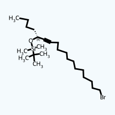 CCCC[C@H](C#CCCCCCCCCCCCBr)O[Si](C)(C)C(C)(C)C